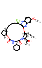 CC[C@@H]1[C@@H]2CN(C(=O)[C@H](C3CCCCC3)NC(=O)O[C@@H]3CCC[C@H]3CCCCC(F)(F)c3nc4ccc(OC)cc4nc3O2)[C@@H]1C(C)=O